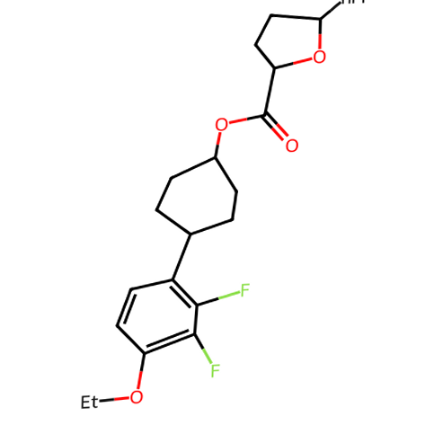 CCCC1CCC(C(=O)OC2CCC(c3ccc(OCC)c(F)c3F)CC2)O1